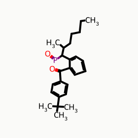 CCCCCC(C)C(P=O)c1ccccc1C(=O)c1ccc(C(C)(C)C)cc1